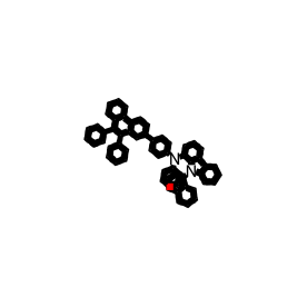 c1ccc(-c2c(-c3ccccc3)c3cc(-c4ccc(N(c5ccccc5)c5cccc6c7ccccc7n(-c7cccc8ccccc78)c56)cc4)ccc3c3ccccc23)cc1